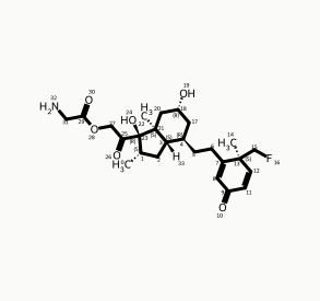 C[C@H]1C[C@H]2[C@H](CCC3=CC(=O)C=C[C@]3(C)CF)C[C@@H](O)C[C@]2(C)[C@@]1(O)C(=O)COC(=O)CN